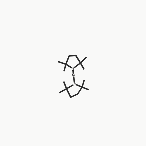 CC1(C)CCC(C)(C)[N]1[Ni][N]1C(C)(C)CCC1(C)C